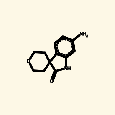 Nc1ccc2c(c1)NC(=O)C21CCOCC1